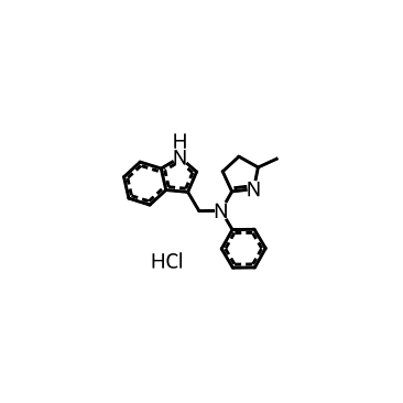 CC1CCC(N(Cc2c[nH]c3ccccc23)c2ccccc2)=N1.Cl